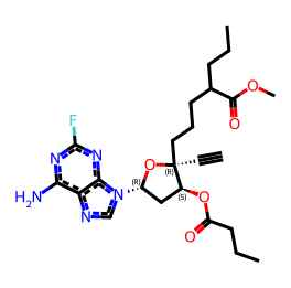 C#C[C@@]1(CCCC(CCC)C(=O)OC)O[C@@H](n2cnc3c(N)nc(F)nc32)C[C@@H]1OC(=O)CCC